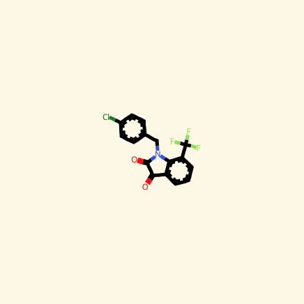 O=C1C(=O)N(Cc2ccc(Cl)cc2)c2c1cccc2C(F)(F)F